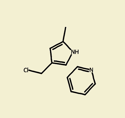 Cc1cc(CCl)c[nH]1.c1ccncc1